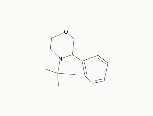 CC(C)(C)N1CCOCC1c1ccccc1